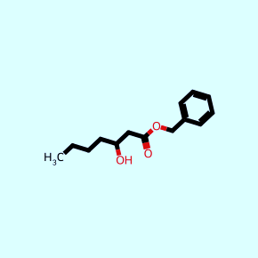 CCCCC(O)CC(=O)OCc1ccccc1